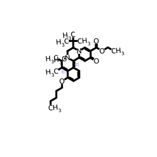 CCCCCOc1cccc(=C2\c3cc(=O)c(C(=O)OCC)cn3C(C(C)(C)C)CN2C)/c1=C(/C)CC